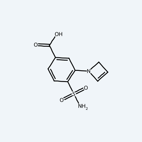 NS(=O)(=O)c1ccc(C(=O)O)cc1N1C=CC1